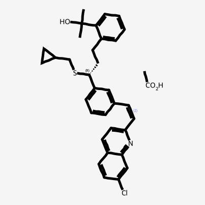 CC(=O)O.CC(C)(O)c1ccccc1CC[C@@H](SCC1CC1)c1cccc(/C=C\c2ccc3ccc(Cl)cc3n2)c1